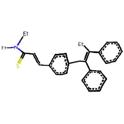 CCC(=C(c1ccccc1)c1ccc(C=CC(=S)N(CC)CC)cc1)c1ccccc1